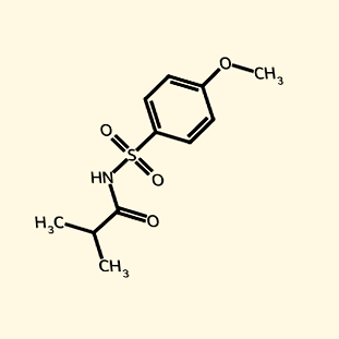 COc1ccc(S(=O)(=O)NC(=O)C(C)C)cc1